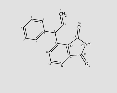 C=CC(c1ccccc1)c1cccc2c1C(=O)NC2=O